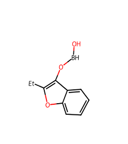 CCc1oc2ccccc2c1OBO